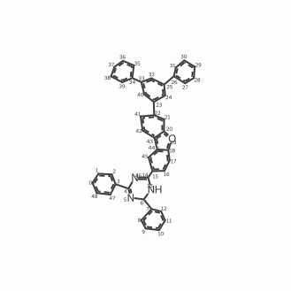 c1ccc(C2=NC(c3ccccc3)NC(c3ccc4oc5cc(-c6cc(-c7ccccc7)cc(-c7ccccc7)c6)ccc5c4c3)=N2)cc1